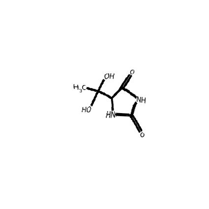 CC(O)(O)C1NC(=O)NC1=O